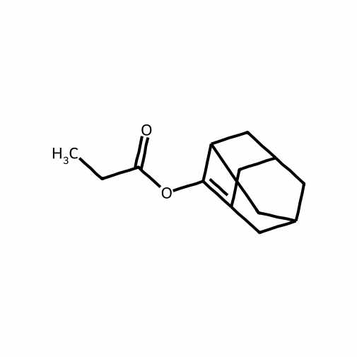 CCC(=O)OC1=C2CC3CC(C2)CC1C3